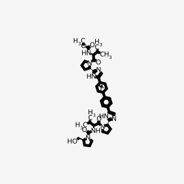 COC(=O)N[C@H](C(=O)N1CCC[C@H]1c1ncc(C23CCC(c4ccc(-c5cnc([C@@H]6CCCN6C(=O)[C@@H](NC(=O)N6CCC[C@H]6CO)C(C)C)[nH]5)cc4)(CC2)CC3)[nH]1)C(C)C